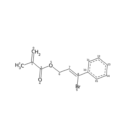 C=C(C)C(=O)OCC=C(Br)c1ccccc1